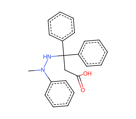 CN(NC(CC(=O)O)(c1ccccc1)c1ccccc1)c1ccccc1